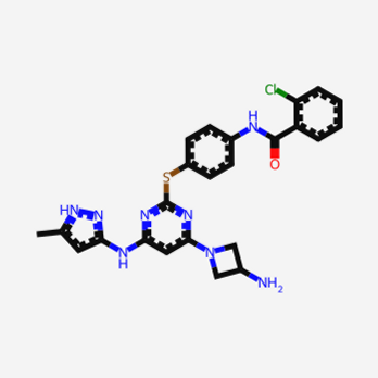 Cc1cc(Nc2cc(N3CC(N)C3)nc(Sc3ccc(NC(=O)c4ccccc4Cl)cc3)n2)n[nH]1